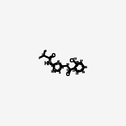 CC(C)C(=O)Nc1ncc(CC(=O)c2ccccc2Cl)s1